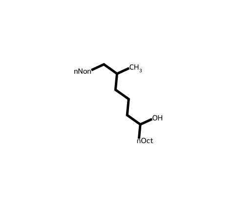 CCCCCCCCCCC(C)CCCC(O)CCCCCCCC